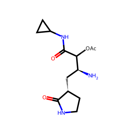 CC(=O)OC(C(=O)NC1CC1)[C@@H](N)C[C@@H]1CCNC1=O